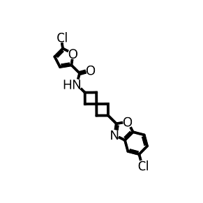 O=C(NC1CC2(C1)CC(c1nc3cc(Cl)ccc3o1)C2)c1ccc(Cl)o1